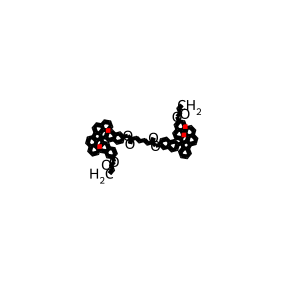 C=CC(=O)Oc1ccc2cc(C3(c4ccc5cc(OC(=O)/C=C/C=C/C(=O)Oc6ccc7cc(C8(c9ccc%10cc(OC(=O)C=C)ccc%10c9)c9c(ccc%10ccccc9%10)-c9ccc%10ccccc%10c98)ccc7c6)ccc5c4)c4ccccc4-c4ccc5ccccc5c43)ccc2c1